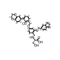 O=C(O)[C@@H](CO)NCc1ccc(OCc2cccc(-c3ccc4c(c3)OCCO4)c2Cl)cc1OCc1ccc2nsnc2c1